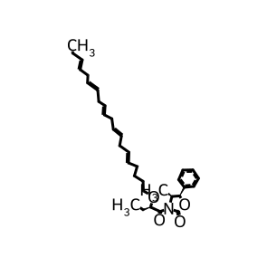 CCC=CCC=CCC=CCC=CCC=CCCCCO[C@H](CC)C(=O)N1C(=O)O[C@H](c2ccccc2)[C@@H]1C